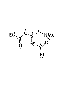 CCC(=O)O[SiH](CNC)OC(=O)CC